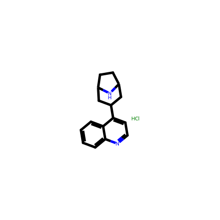 Cl.c1ccc2c(C3CC4CCC(C3)N4)ccnc2c1